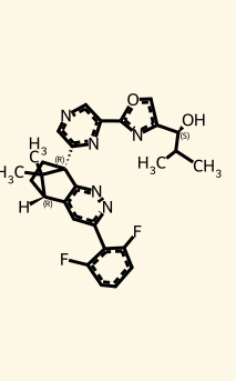 CC(C)[C@H](O)c1coc(-c2cncc([C@]34CC[C@@H](c5cc(-c6c(F)cccc6F)nnc53)C4(C)C)n2)n1